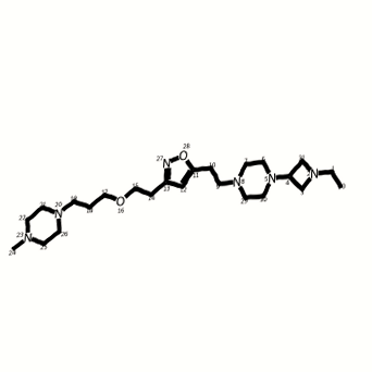 CCN1CC(N2CCN(CCc3cc(CCOCCCN4CCN(C)CC4)no3)CC2)C1